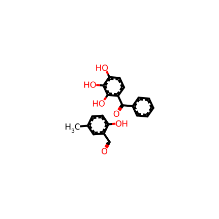 Cc1ccc(O)c(C=O)c1.O=C(c1ccccc1)c1ccc(O)c(O)c1O